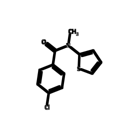 CN(C(=O)c1ccc(Cl)cc1)c1cccs1